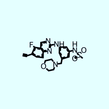 C#Cc1ccc2nc(Nc3cc(CN4CCOCC4)cc(NS(C)(=O)=O)c3)ncc2c1F